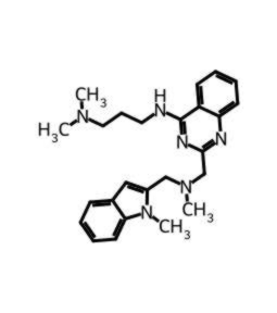 CN(C)CCCNc1nc(CN(C)Cc2cc3ccccc3n2C)nc2ccccc12